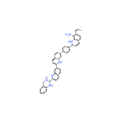 C/C=C\c1ccc2c(c1N)NC(c1ccc(C3=CC4NC(c5ccc6ccc(C7NCc8ccccc8N7)nc6c5)=CC=C4C=C3)cc1)C=C2